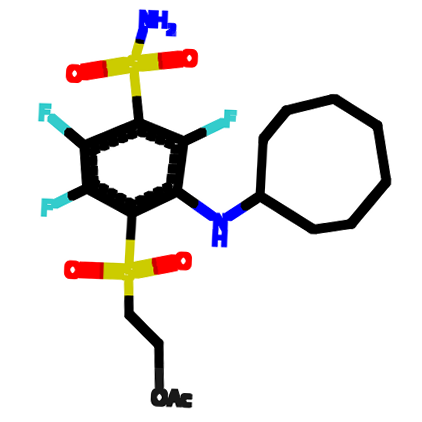 CC(=O)OCCS(=O)(=O)c1c(F)c(F)c(S(N)(=O)=O)c(F)c1NC1CCCCCCC1